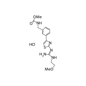 COCCN/C(N)=N/c1nc(-c2cccc(CNC(=O)OC)c2)cs1.Cl